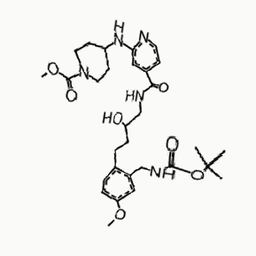 COC(=O)N1CCC(Nc2cc(C(=O)NCC(O)CCc3ccc(OC)cc3CNC(=O)OC(C)(C)C)ccn2)CC1